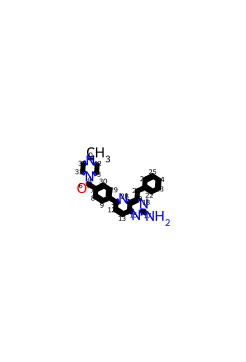 CN1CCN(C(=O)c2ccc(-c3ccc4nc(N)nc(Cc5ccccc5)c4n3)cc2)CC1